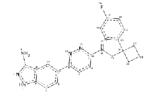 Nc1n[nH]c2ccc(-c3ccc(NCC4(c5ccc(F)cn5)CCC4)nn3)cc12